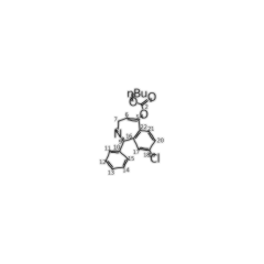 CCCCOC(=O)OC1=CCN=C(c2ccccc2)c2cc(Cl)ccc21